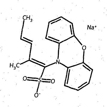 CC=CC(C)=C(N1c2ccccc2Oc2ccccc21)S(=O)(=O)[O-].[Na+]